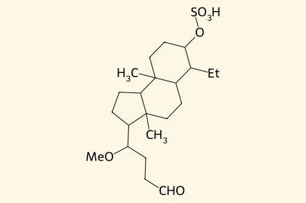 CCC1C(OS(=O)(=O)O)CCC2(C)C1CCC1(C)C(C(CCC=O)OC)CCC12